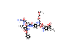 COCCOCCNC(=O)C(OC(=O)Nc1ccc2c(C)cc(=O)oc2c1)c1ccc(NC(=O)C(CCCNC(N)=O)NC(=O)C(NC(=O)OCc2ccccc2)C(C)C)cc1